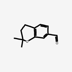 CC1(C)CCc2ccc(C=O)cc2O1